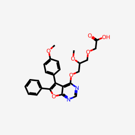 COc1ccc(-c2c(-c3ccccc3)oc3ncnc(OCC(COCC(=O)O)OC)c23)cc1